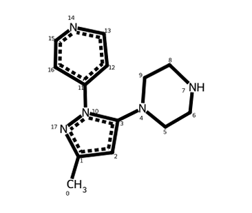 Cc1cc(N2CCNCC2)n(-c2ccncc2)n1